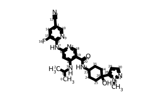 CC(C)Nc1cc(Nc2ncc(C#N)cc2F)ncc1C(=O)NC1CCC(O)(c2ccnn2C)CC1